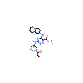 C=CC(=O)N1CCC[C@@H](N(C)c2nnc(C(N)=O)c(Nc3ccc4ncccc4c3)n2)C1